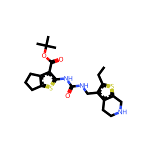 CCc1sc2c(c1CNC(=O)Nc1sc3c(c1C(=O)OC(C)(C)C)CCC3)CCNC2